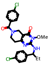 CCC(Nc1nc2c(c(=O)n1OC)CN(C(=O)c1ccc(Cl)cc1)CC2)c1ccc(Cl)cc1